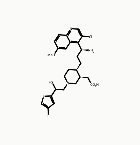 COc1ccc2ncc(Cl)c([C@@H](N)CC[C@@H]3CCN(CC(S)c4cc(F)cs4)C[C@@H]3CC(=O)O)c2c1